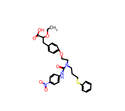 CCOC(Cc1ccc(OCCN(CCCSc2ccccc2)C(=O)Nc2ccc([N+](=O)[O-])cc2)cc1)C(=O)O